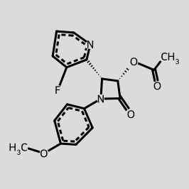 COc1ccc(N2C(=O)[C@@H](OC(C)=O)[C@H]2c2ncccc2F)cc1